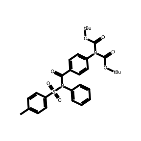 Cc1ccc(S(=O)(=O)N(C(=O)c2ccc(N(C(=O)OC(C)(C)C)C(=O)OC(C)(C)C)cc2)c2ccccc2)cc1